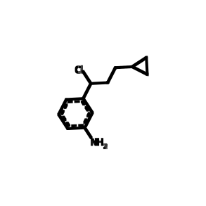 Nc1cccc(C(Cl)CCC2CC2)c1